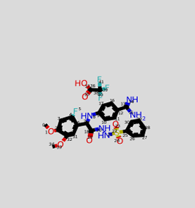 COc1cc(F)c(C(Nc2ccc(C(=N)N)cc2)C(=O)NNS(=O)(=O)c2ccccc2)cc1OC.O=C(O)C(F)(F)F